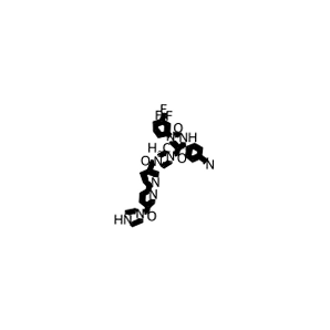 CC1=C(C(=O)N2CCN(C(=O)c3ccc(-c4ccc(C(=O)N5CCNCC5)cn4)nc3)CC2)[C@@H](c2ccc(C#N)cc2)NC(=O)N1c1cccc(C(F)(F)F)c1